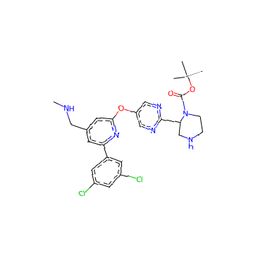 CNCc1cc(Oc2cnc(C3CNCCN3C(=O)OC(C)(C)C)nc2)nc(-c2cc(Cl)cc(Cl)c2)c1